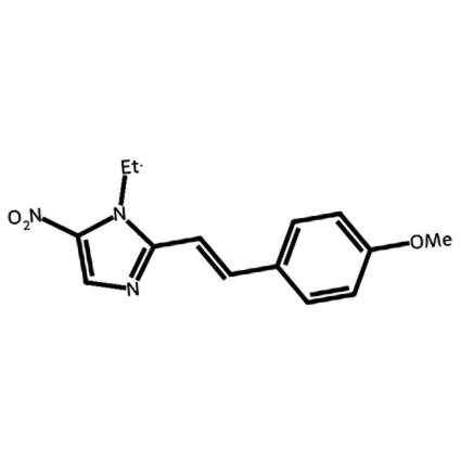 C[CH]n1c([N+](=O)[O-])cnc1/C=C/c1ccc(OC)cc1